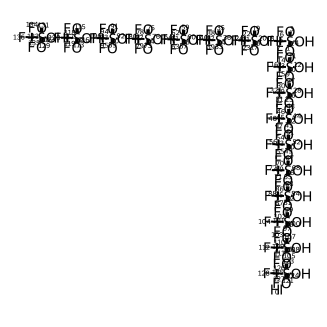 I.O=S(=O)(O)C(F)(F)F.O=S(=O)(O)C(F)(F)F.O=S(=O)(O)C(F)(F)F.O=S(=O)(O)C(F)(F)F.O=S(=O)(O)C(F)(F)F.O=S(=O)(O)C(F)(F)F.O=S(=O)(O)C(F)(F)F.O=S(=O)(O)C(F)(F)F.O=S(=O)(O)C(F)(F)F.O=S(=O)(O)C(F)(F)F.O=S(=O)(O)C(F)(F)F.O=S(=O)(O)C(F)(F)F.O=S(=O)(O)C(F)(F)F.O=S(=O)(O)C(F)(F)F.O=S(=O)(O)C(F)(F)F.O=S(=O)(O)C(F)(F)F.O=S(=O)(O)C(F)(F)F